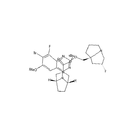 COc1cc2c(N3[C@@H]4CC[C@H]3CN(C(=O)OC(C)(C)C)C4)nc(OC[C@@]34CCCN3C[C@H](F)C4)nc2c(F)c1Br